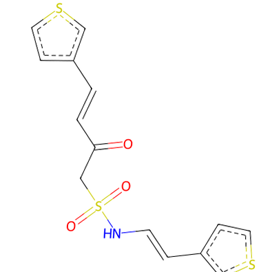 O=C(C=Cc1ccsc1)CS(=O)(=O)N/C=C/c1ccsc1